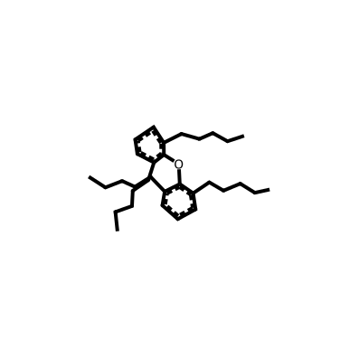 CCCCCc1cccc(CCCCC)c1Oc1c(CCCCC)cccc1CCCCC